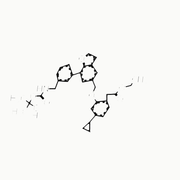 CCOC(=O)Cc1ccc(C2CC2)cc1OCc1cc(-c2cccc(CNC(=O)OC(C)(C)C)c2)c2occc2c1